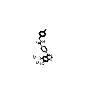 COc1cc2ncnc(N3CCN(C(=S)NCc4ccc(C)cc4)CC3)c2cc1OC